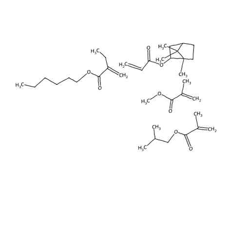 C=C(C)C(=O)OC.C=C(C)C(=O)OCC(C)C.C=C(CC)C(=O)OCCCCCC.C=CC(=O)OC1CC2CCC1(C)C2(C)C